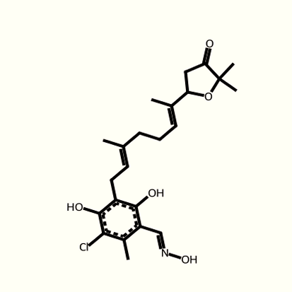 C/C(=C\Cc1c(O)c(Cl)c(C)c(C=NO)c1O)CC/C=C(\C)C1CC(=O)C(C)(C)O1